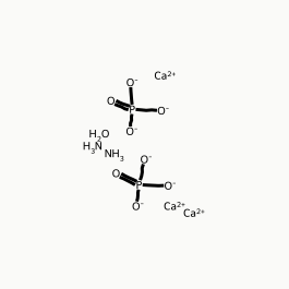 N.N.O.O=P([O-])([O-])[O-].O=P([O-])([O-])[O-].[Ca+2].[Ca+2].[Ca+2]